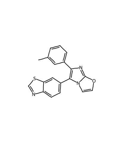 Cc1cccc(-c2nc3occn3c2-c2ccc3ncsc3c2)c1